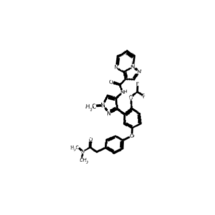 CN(C)C(=O)Cc1ccc(Oc2ccc(OC(F)F)c(-c3nn(C)cc3NC(=O)c3cnn4cccnc34)c2)cc1